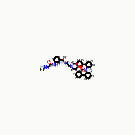 CCNCC(=O)Nc1cccc(C(=O)NCCN2CCC(OC(=O)N(c3ccccc3-c3ccccc3)c3ccccc3-c3ccccc3)CC2)c1